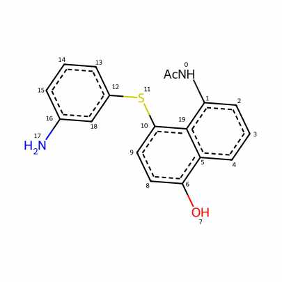 CC(=O)Nc1cccc2c(O)ccc(Sc3cccc(N)c3)c12